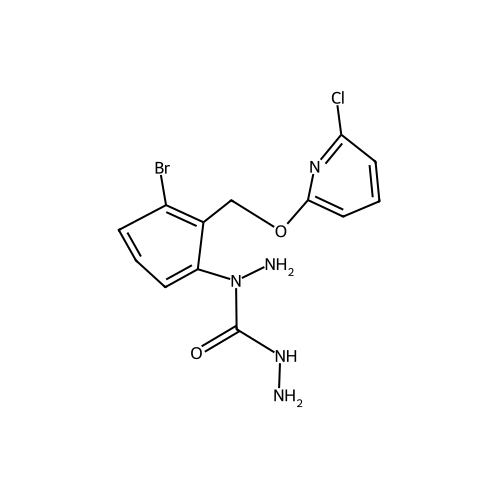 NNC(=O)N(N)c1cccc(Br)c1COc1cccc(Cl)n1